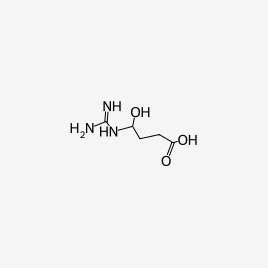 N=C(N)NC(O)CCC(=O)O